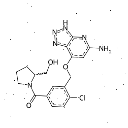 Nc1cc(OCc2cc(C(=O)N3CCC[C@H]3CO)ccc2Cl)c2nn[nH]c2n1